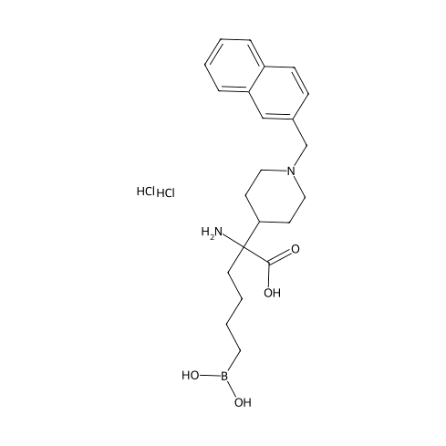 Cl.Cl.NC(CCCCB(O)O)(C(=O)O)C1CCN(Cc2ccc3ccccc3c2)CC1